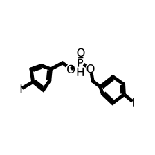 O=[PH](OCc1ccc(I)cc1)OCc1ccc(I)cc1